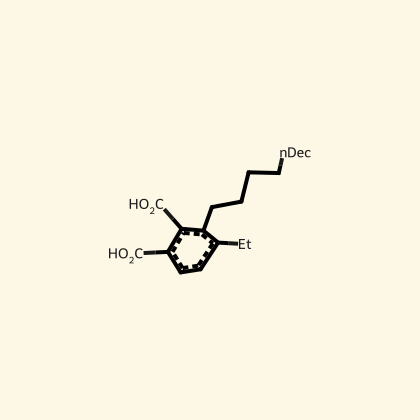 CCCCCCCCCCCCCCc1c(CC)ccc(C(=O)O)c1C(=O)O